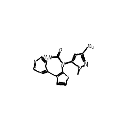 Cn1nc(C(C)(C)C)cc1N(C(N)=O)c1sccc1-c1ccncc1